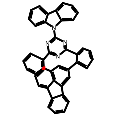 c1ccc(-c2nc(-c3ccccc3-c3cc4c5c(cccc5c3)-c3ccccc3-4)nc(-n3c4ccccc4c4ccccc43)n2)cc1